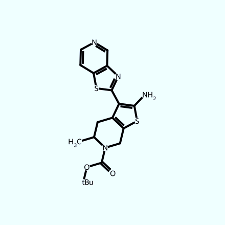 CC1Cc2c(sc(N)c2-c2nc3cnccc3s2)CN1C(=O)OC(C)(C)C